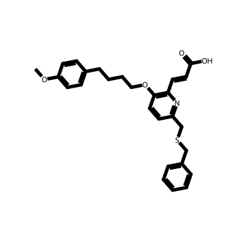 COc1ccc(CCCCOc2ccc(CSCc3ccccc3)nc2C=CC(=O)O)cc1